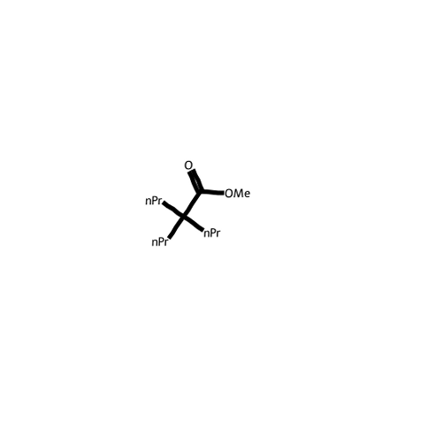 CCCC(CCC)(CCC)C(=O)OC